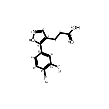 O=C(O)CCc1cnoc1-c1ccc(F)c(Cl)c1